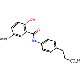 COc1ccc(O)c(C(=O)Nc2ccc(CCC(=O)O)cc2)c1